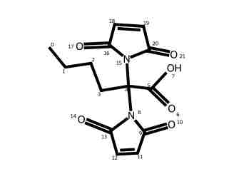 CCCCC(C(=O)O)(N1C(=O)C=CC1=O)N1C(=O)C=CC1=O